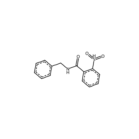 O=C(NCc1ccccc1)c1ccccc1[SH](=O)=O